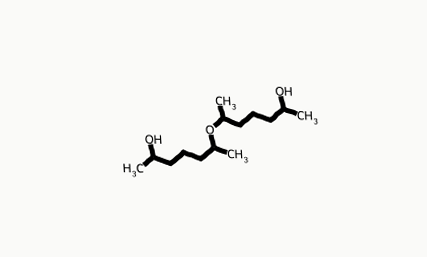 CC(O)CCCC(C)OC(C)CCCC(C)O